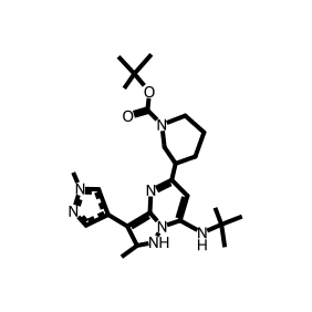 CC1NN2C(NC(C)(C)C)=CC(C3CCCN(C(=O)OC(C)(C)C)C3)=NC2=C1c1cnn(C)c1